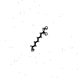 O=NC(=O)CCCCCCCBr